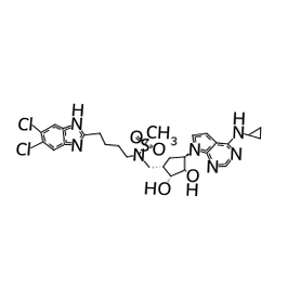 CS(=O)(=O)N(CCCCc1nc2cc(Cl)c(Cl)cc2[nH]1)C[C@@H]1C[C@@H](n2ccc3c(NC4CC4)ncnc32)[C@H](O)[C@@H]1O